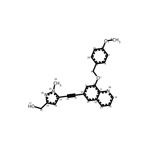 COc1ccc(COc2cc(C#Cc3cc(CO)nn3C)cc3cccnc23)cc1